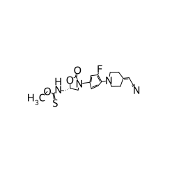 COC(=S)NC[C@H]1CN(c2ccc(N3CCC(=CC#N)CC3)c(F)c2)C(=O)O1